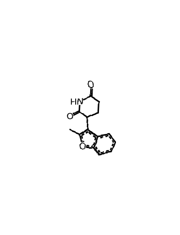 Cc1oc2ccccc2c1C1CCC(=O)NC1=O